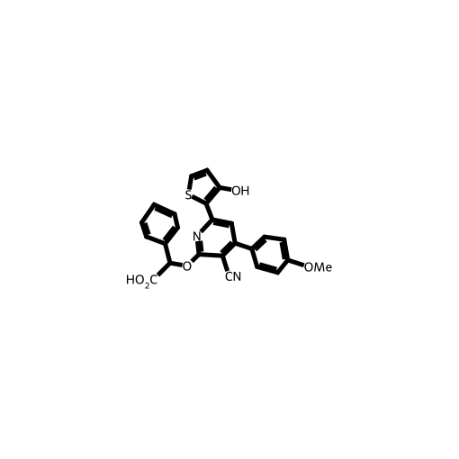 COc1ccc(-c2cc(-c3sccc3O)nc(OC(C(=O)O)c3ccccc3)c2C#N)cc1